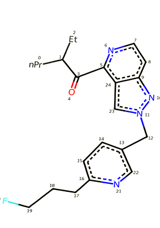 CCCC(CC)C(=O)c1nccc2nn(Cc3ccc(CCCF)nc3)cc12